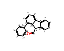 O=[C]C1c2ccccc2-c2cccc(-c3ccccc3)c21